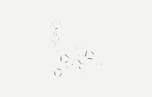 Cc1ccc(C(C)(C)C)c(SC2=C(O)CC(CCc3ccccc3)(c3ccc(OCCN4CCN(C(=O)OC(C)(C)C)CC4)cc3)OC2=O)c1